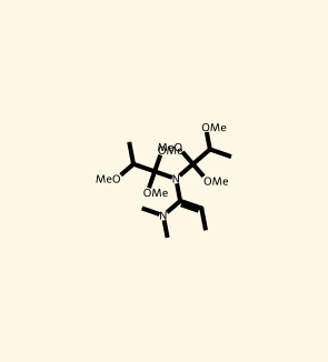 CC=C(N(C)C)N(C(OC)(OC)C(C)OC)C(OC)(OC)C(C)OC